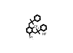 CC(C)(Cc1cc[c]([Sn])c(CC(C)(C)c2ccccc2)c1C(F)(F)F)c1ccccc1.F